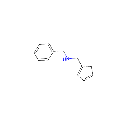 C1=CCC(CNCc2ccccc2)=C1